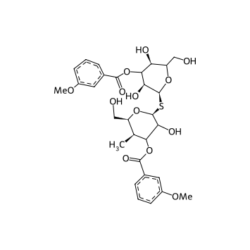 COc1cccc(C(=O)OC2C(O)[C@H](S[C@@H]3OC(CO)[C@H](O)C(OC(=O)c4cccc(OC)c4)[C@@H]3O)O[C@H](CO)[C@@H]2C)c1